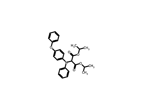 CC(C)OC(=O)C(C(=O)OC(C)C)N(c1ccccc1)c1ccc(Oc2ccccc2)cc1